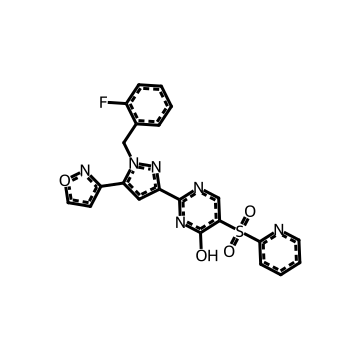 O=S(=O)(c1ccccn1)c1cnc(-c2cc(-c3ccon3)n(Cc3ccccc3F)n2)nc1O